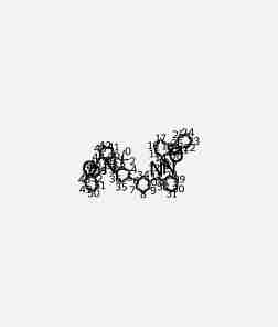 CC1(C)c2cc(-c3cccc(-c4nc(-c5cccc6c5oc5ccccc56)nc5ccccc45)c3)ccc2-n2c3c1cccc3c1oc3ccccc3c12